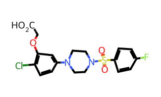 O=C(O)COc1cc(N2CCN(S(=O)(=O)c3ccc(F)cc3)CC2)ccc1Cl